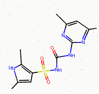 Cc1cc(C)nc(NC(=O)NS(=O)(=O)c2cc(C)[nH]c2C)n1